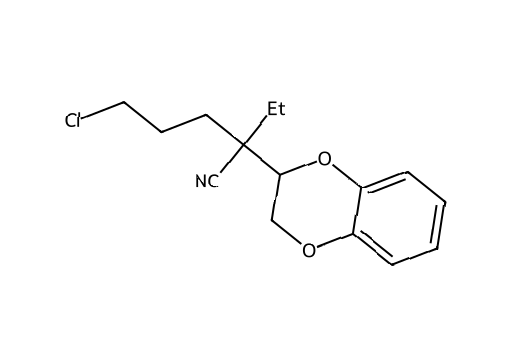 CCC(C#N)(CCCCl)C1COc2ccccc2O1